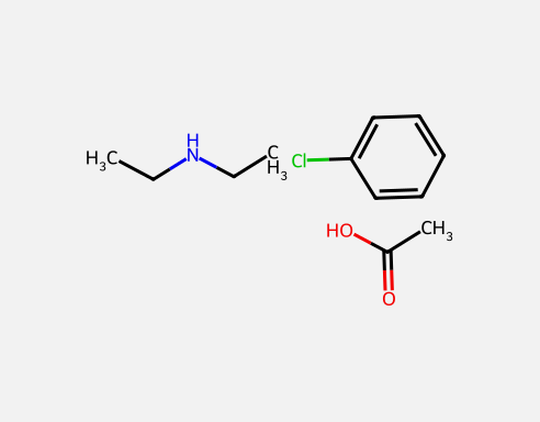 CC(=O)O.CCNCC.Clc1ccccc1